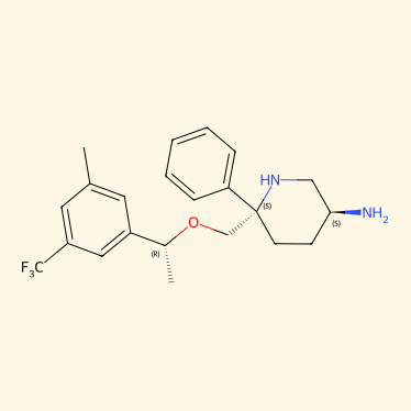 Cc1cc([C@@H](C)OC[C@@]2(c3ccccc3)CC[C@H](N)CN2)cc(C(F)(F)F)c1